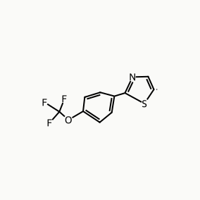 FC(F)(F)Oc1ccc(-c2nc[c]s2)cc1